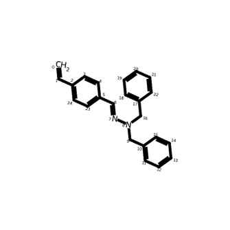 C=Cc1ccc(C=NN(Cc2ccccc2)Cc2ccccc2)cc1